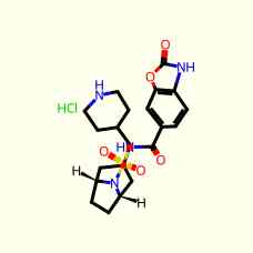 Cl.O=C(NC1C[C@H]2CC[C@@H](C1)N2S(=O)(=O)CC1CCNCC1)c1ccc2[nH]c(=O)oc2c1